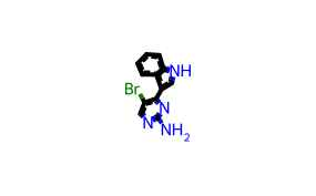 Nc1ncc(Br)c(-c2c[nH]c3ccccc23)n1